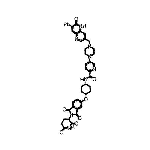 CCc1cc2ncc(CN3CCN(c4ccc(C(=O)N[C@H]5CC[C@@H](Oc6ccc7c(c6)C(=O)N(C6CCC(=O)NC6=O)C7=O)CC5)nc4)CC3)cc2[nH]c1=O